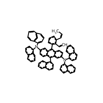 C=Cc1c(/C=C\C)cccc1-c1c2cc(N(C3=CC=CC4=C=C3C=CC=C4)c3cccc4ccccc34)ccc2c(-c2cccc3ccccc23)c2cc(N(c3cccc4ccccc34)c3cccc4ccccc34)ccc12